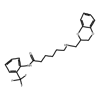 O=C(CCCCCNCC1COc2ccccc2O1)Nc1ccccc1C(F)(F)F